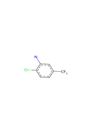 [N]c1cc(C(F)(F)F)ccc1Cl